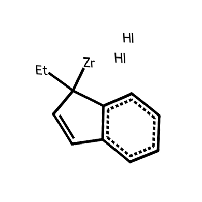 CC[C]1([Zr])C=Cc2ccccc21.I.I